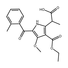 CCOC(=O)c1c(C(C)C(=O)O)[nH]c(C(=O)c2ccccc2C)c1OC